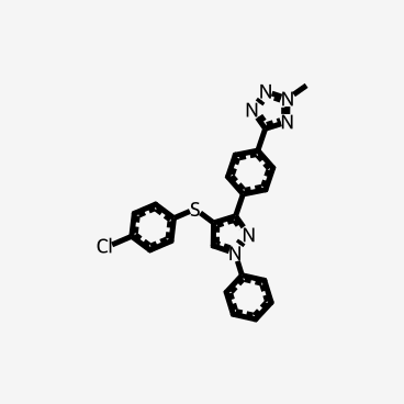 Cn1nnc(-c2ccc(-c3nn(-c4ccccc4)cc3Sc3ccc(Cl)cc3)cc2)n1